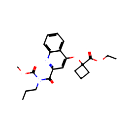 CCCN(C(=O)OC)C(=O)c1cc(OC2(C(=O)OCC)CCC2)c2ccccc2n1